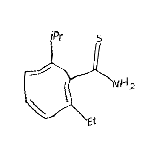 CCc1cccc(C(C)C)c1C(N)=S